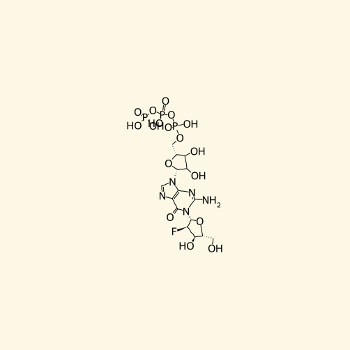 Nc1nc2c(ncn2[C@@H]2O[C@H](COP(=O)(O)OP(=O)(O)OP(=O)(O)O)C(O)C2O)c(=O)n1[C@@H]1O[C@H](CO)[C@@H](O)[C@H]1F